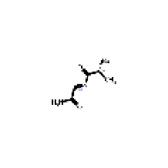 CCC(C)[C@H](C)C(=O)/N=C/C(N)=O